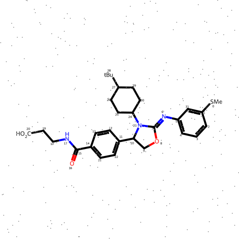 CSc1cccc(N=C2OCC(c3ccc(C(=O)NCCC(=O)O)cc3)N2C2CCC(C(C)(C)C)CC2)c1